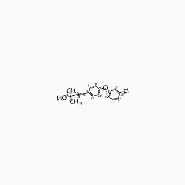 CC(C)(O)C#Cc1ccc(Oc2cccc(Cl)c2)cc1